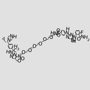 C[C@H](Nc1ncc2c(n1)N(CCOCCOCCOCCOCCOCCOCCNS(=O)(=O)c1ccc(Nc3ncc(Br)c(Nc4cccc(F)c4C(N)=O)n3)cc1)C(=O)OC2)c1ccc([C@H](CC2CC2)N2CCNCC2)cc1